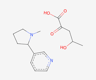 CC(O)CC(=O)C(=O)O.CN1CCCC1c1cccnc1